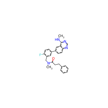 CNc1ncnc2ccc(-c3ccc(F)c(CN(C)C(=O)CCc4ccccc4)c3)cc12